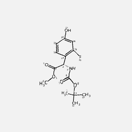 COC(=O)[C@@H](NC(=O)OC(C)(C)C)c1ccc(O)cc1F